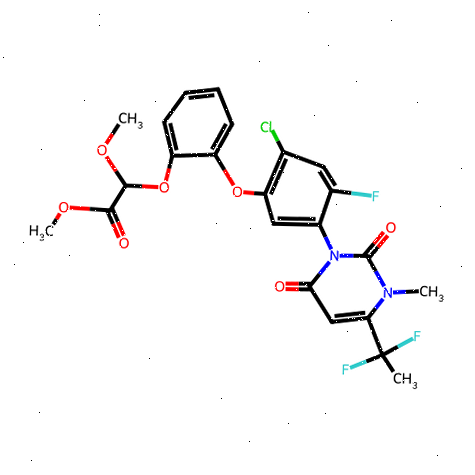 COC(=O)C(OC)Oc1ccccc1Oc1cc(-n2c(=O)cc(C(C)(F)F)n(C)c2=O)c(F)cc1Cl